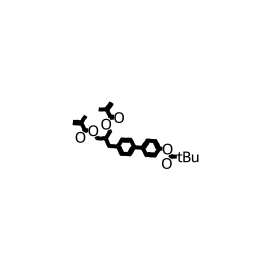 C=C(C)C(=O)OCC(COC(=O)C(=C)C)Cc1ccc(-c2ccc(OC(=O)C(C)(C)C)cc2)cc1